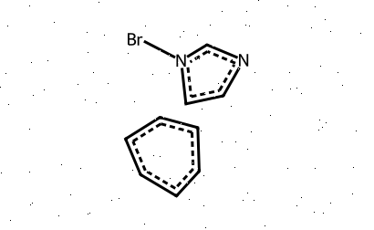 Brn1ccnc1.c1ccccc1